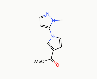 COC(=O)c1ccn(-c2ccnn2C)c1